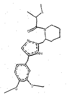 COc1ccc(-c2cnc(C3CCCCN3C(=O)C(C)SC)[nH]2)cc1OC